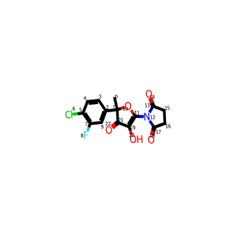 CC1(c2ccc(Cl)c(F)c2)OC(N2C(=O)CCC2=O)=C(O)C1=O